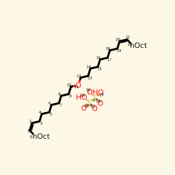 CCCCCCCC/C=C\CCCCCCCCOCCCCCCCC/C=C\CCCCCCCC.O=S(=O)(O)S(=O)(=O)O